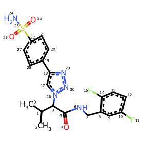 CC(C)C(C(=O)NCc1cc(F)ccc1F)n1cc(-c2ccc(S(N)(=O)=O)cc2)nn1